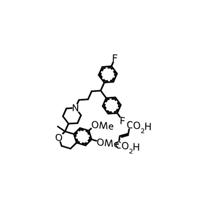 COc1cc2c(cc1OC)C(C)(C1CCN(CCCC(c3ccc(F)cc3)c3ccc(F)cc3)CC1)OCC2.O=C(O)C=CC(=O)O